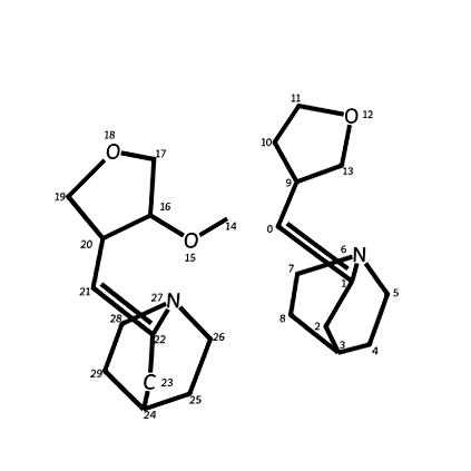 C(=C1CC2CCN1CC2)C1CCOC1.COC1COCC1C=C1CC2CCN1CC2